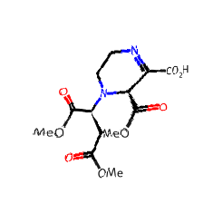 COC(=O)C[C@@H](C(=O)OC)N1CCN=C(C(=O)O)[C@H]1C(=O)OC